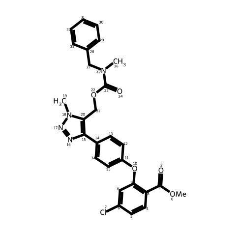 COC(=O)c1ccc(Cl)cc1Oc1ccc(-c2nnn(C)c2COC(=O)N(C)Cc2ccccc2)cc1